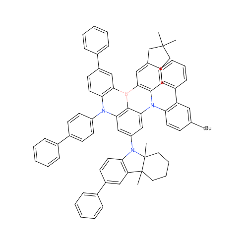 CC1(C)Cc2cc3c(cc2C1)N(c1ccc(C(C)(C)C)cc1-c1ccccc1)c1cc(N2c4ccc(-c5ccccc5)cc4C4(C)CCCCC24C)cc2c1B3c1cc(-c3ccccc3)ccc1N2c1ccc(-c2ccccc2)cc1